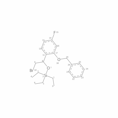 CC[Si](CC)(CC)OC(CBr)c1ccc(F)cc1OCc1ccccc1